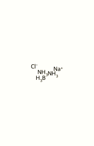 B.N.N.[Cl-].[Na+]